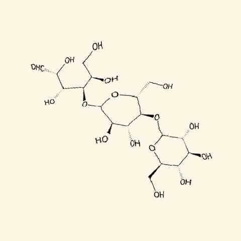 O=C[C@H](O)[C@@H](O)[C@H](OC1O[C@H](CO)[C@@H](OC2O[C@H](CO)[C@@H](O)[C@H](O)[C@H]2O)[C@H](O)[C@H]1O)[C@H](O)CO